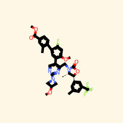 COC(=O)c1ccc(-c2cc(-c3cnc(N4CC(OC)C4)nc3CN3C(=O)O[C@H](c4cc(C)cc(C(F)(F)F)c4)[C@@H]3C)c(OC)cc2F)c(C)c1